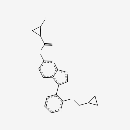 O=C(Nc1ccc2c(-c3cccnc3OCC3CC3)c[nH]c2n1)C1CC1F